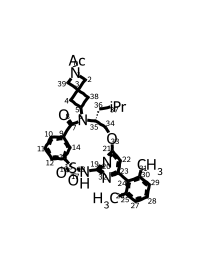 CC(=O)N1CC2(CC(N3C(=O)c4cccc(c4)S(=O)(=O)Nc4nc(cc(-c5c(C)cccc5C)n4)OC[C@H]3CC(C)C)C2)C1